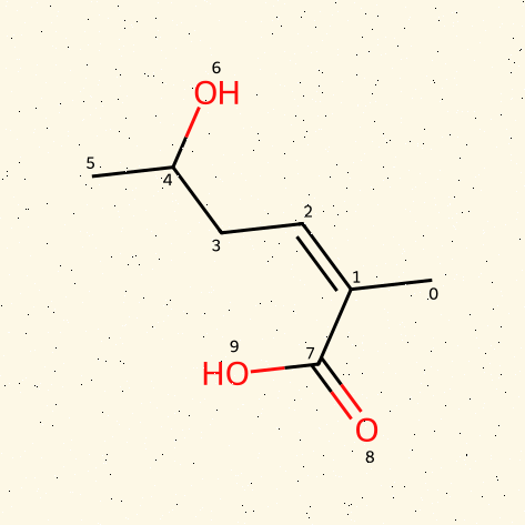 CC(=CCC(C)O)C(=O)O